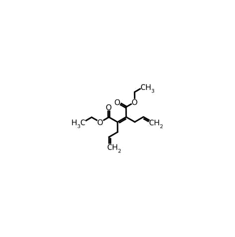 C=CC/C(C(=O)OCC)=C(\CC=C)C(=O)OCC